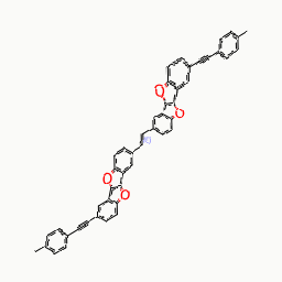 Cc1ccc(C#Cc2ccc3oc4c5cc(/C=C/c6ccc7oc8c9cc(C#Cc%10ccc(C)cc%10)ccc9oc8c7c6)ccc5oc4c3c2)cc1